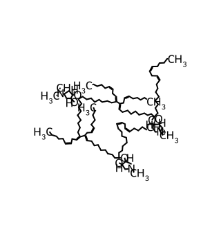 CCCCC/C=C\C/C=C\CCCCCCCCC1(CCCCCCCC/C=C(C/C=C\CCCCC)/C(=C/C/C=C\CCCCC)CCCCCCCCC2(CCCCCCCCC(=C\C/C=C\CCCCC)/C(=C/CCCCCCCCC3(CCCCCCCC/C=C\C/C=C\CCCCC)O[C@H]4CN(C)C[C@H]4O3)C/C=C\CCCCC)O[C@H]3C[C@H](N(C)C)C[C@H]3O2)O[C@H]2CCN(C)C[C@H]2O1